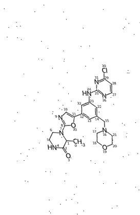 CC1C(=O)NCCN1c1ncc(-c2cc(CN3CCOCC3)cc(Nc3nccc(Cl)n3)c2)o1